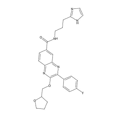 O=C(NCCCc1ncc[nH]1)c1ccc2nc(OCC3CCCO3)c(-c3ccc(F)cc3)nc2c1